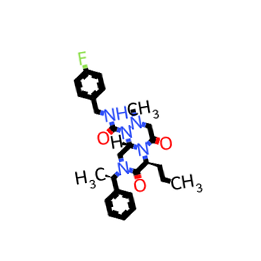 CCC[C@H]1C(=O)N([C@@H](C)c2ccccc2)C[C@H]2N1C(=O)CN(C)N2C(=O)NCc1ccc(F)cc1